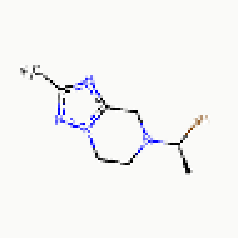 C[C@H](S)N1CCn2nc(C(F)(F)F)nc2C1